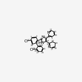 Clc1ccc(-c2nc(-c3ccccn3)c(C3=NC=CCC3)[nH]2)c(-c2ccccc2Cl)c1